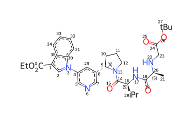 CCOC(=O)c1cn(-c2cncc([C@@H]3CCCN3C(=O)[C@@H](NC(=O)[C@H](C)NCC(=O)OC(C)(C)C)C(C)C)c2)c2ccccc12